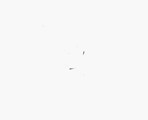 C#Cc1ccc(Oc2ccc(C#N)cc2)c([C@@H]2NC(=O)C[C@@H](C3C=CC=C(Cl)C3)[C@]23C(=O)Nc2cc(Cl)ccc23)c1